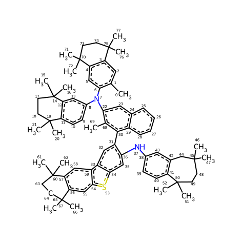 Cc1cc2c(cc1N(c1ccc3c(c1)C(C)(C)CCC3(C)C)c1cc3ccccc3c(-c3cc4c(cc3Nc3ccc5c(c3)CC(C)(C)CCC5(C)C)sc3cc5c(cc34)C(C)(C)CCC5(C)C)c1C)C(C)(C)CCC2(C)C